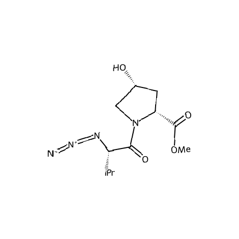 COC(=O)[C@H]1C[C@@H](O)CN1C(=O)[C@@H](N=[N+]=[N-])C(C)C